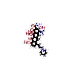 CN(C)[C@@H]1C(O)=C(C(N)=O)C(=O)[C@@]2(O)C(O)=C3C(=O)c4c(O)ccc(/C=C/CN5CCCCC5)c4C[C@H]3C[C@@H]12